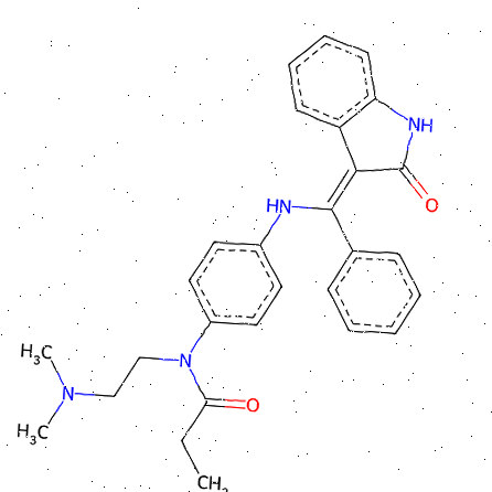 CCC(=O)N(CCN(C)C)c1ccc(NC(=C2C(=O)Nc3ccccc32)c2ccccc2)cc1